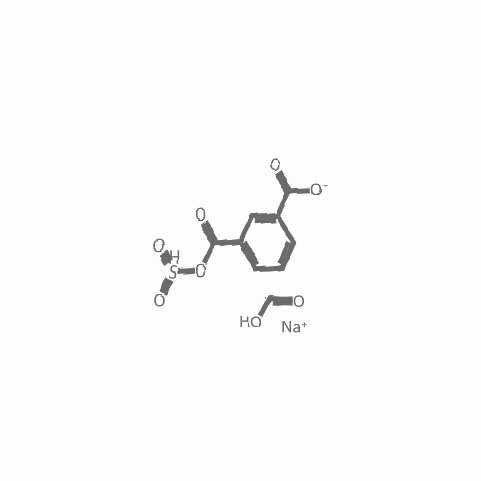 O=C([O-])c1cccc(C(=O)O[SH](=O)=O)c1.O=[C]O.[Na+]